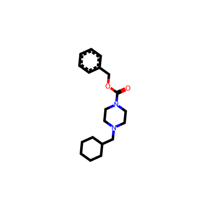 O=C(OCc1ccccc1)N1CCN(CC2CCCCC2)CC1